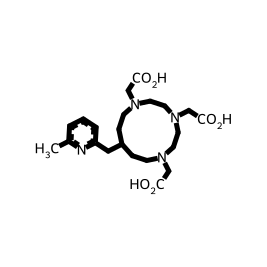 Cc1cccc(CC2CCN(CC(=O)O)CCN(CC(=O)O)CCN(CC(=O)O)CC2)n1